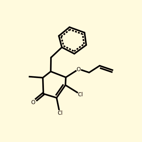 C=CCOC1C(Cl)=C(Cl)C(=O)C(C)C1Cc1ccccc1